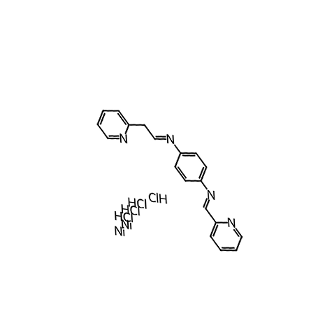 C(Cc1ccccn1)=Nc1ccc(N=Cc2ccccn2)cc1.Cl.Cl.Cl.Cl.[Ni].[Ni]